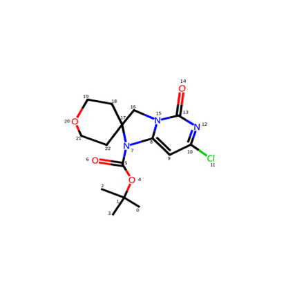 CC(C)(C)OC(=O)N1c2cc(Cl)nc(=O)n2CC12CCOCC2